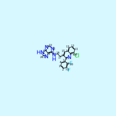 Fc1cccc(-c2nc3c(Cl)cccc3cc2CCNc2ncnc3[nH]cnc23)c1F